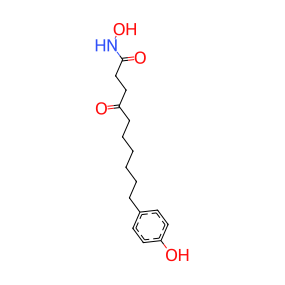 O=C(CCCCCCc1ccc(O)cc1)CCC(=O)NO